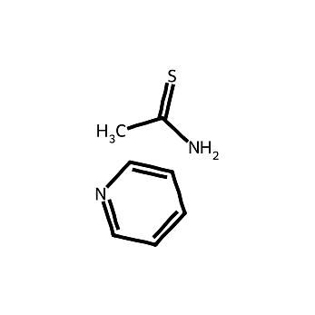 CC(N)=S.c1ccncc1